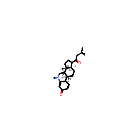 CC(C)CC(=O)C1CC[C@H]2[C@@H]3CN(C)C4=CC(=O)CC[C@]4(C)[C@@H]3CC[C@]12C